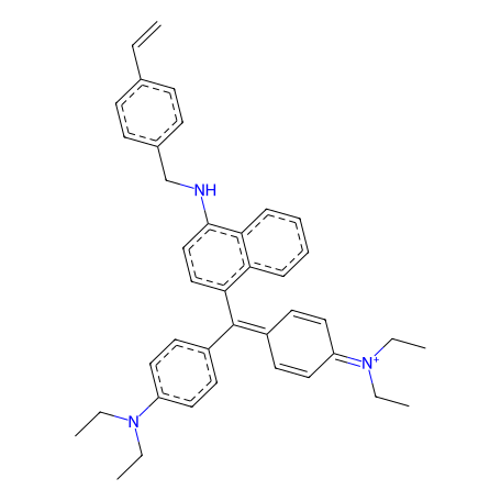 C=Cc1ccc(CNc2ccc(C(=C3C=CC(=[N+](CC)CC)C=C3)c3ccc(N(CC)CC)cc3)c3ccccc23)cc1